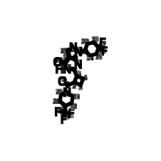 O=C(C1CCC1c1nc2c(cnn2C2CCC(F)(F)CC2)c(=O)[nH]1)N1CCC(C(F)(F)F)CC1